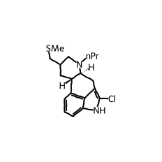 CCCN1CC(CSC)C[C@H]2c3cccc4[nH]c(Cl)c(c34)C[C@@H]21